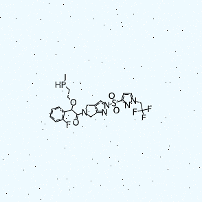 O=C(C(OCCPI)c1ccccc1F)N1Cc2cn(S(=O)(=O)c3ccn(CC(F)(F)F)n3)nc2C1